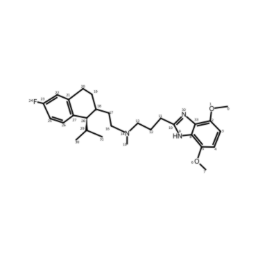 COc1ccc(OC)c2[nH]c(CCCN(C)CC[C]3CCc4cc(F)ccc4[C@@H]3C(C)C)nc12